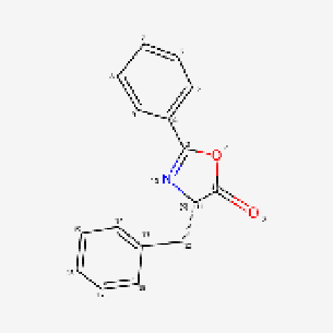 O=C1OC(c2ccccc2)=N[C@H]1Cc1ccccc1